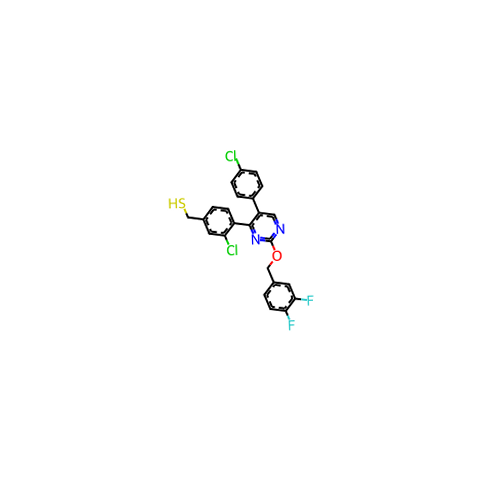 Fc1ccc(COc2ncc(-c3ccc(Cl)cc3)c(-c3ccc(CS)cc3Cl)n2)cc1F